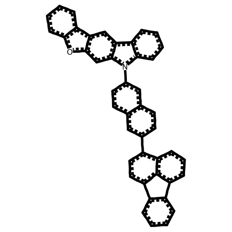 c1ccc2c(c1)-c1cccc3c(-c4ccc5cc(-n6c7ccccc7c7cc8c(cc76)oc6ccccc68)ccc5c4)ccc-2c13